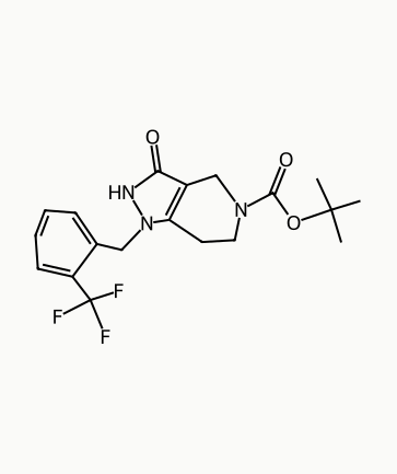 CC(C)(C)OC(=O)N1CCc2c(c(=O)[nH]n2Cc2ccccc2C(F)(F)F)C1